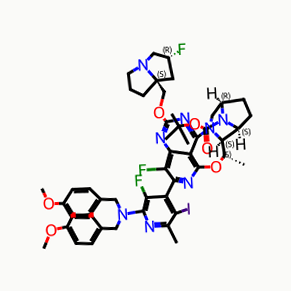 COc1ccc(CN(Cc2ccc(OC)cc2)c2nc(C)c(I)c(-c3nc4c5c(nc(OC[C@@]67CCCN6C[C@H](F)C7)nc5c3F)N3C[C@H]5CC[C@@H]([C@H]3[C@H](C)O4)N5C(=O)OC(C)(C)C)c2F)cc1